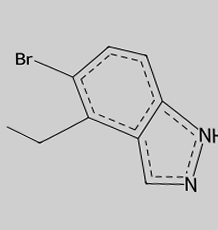 CCc1c(Br)ccc2[nH]ncc12